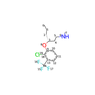 CCC[C@H](CCNC)Oc1cccc(C(F)(F)F)c1Cl